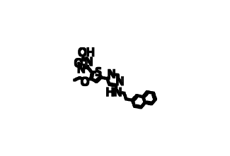 CCOc1cc(-c2cc(NCCc3ccc4ccccc4c3)ncn2)sc1-c1noc(O)n1